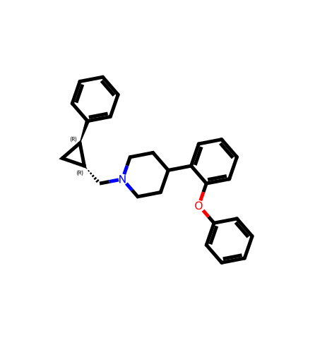 c1ccc(Oc2ccccc2C2CCN(C[C@@H]3C[C@H]3c3ccccc3)CC2)cc1